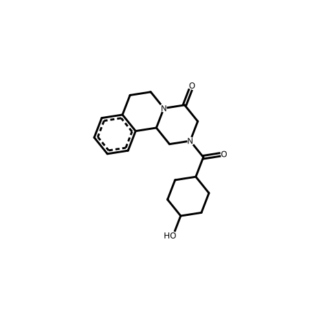 O=C(C1CCC(O)CC1)N1CC(=O)N2CCc3ccccc3C2C1